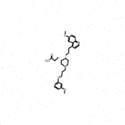 COc1cccc(SCCCN2CC[C@@H](CCCc3ccnc4ccc(OC)cc34)[C@@H](CCC(=O)O)C2)c1